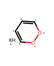 C1=COOC=C1.[KH]